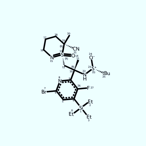 CC[Si](CC)(CC)c1cc(Br)nc([C@](C)(C[S@]2(=O)=NCCC[C@]2(C)C#N)N[S@+]([O-])C(C)(C)C)c1F